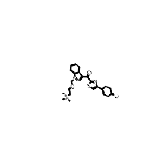 C[Si](C)(C)CCOCn1cc(C(=O)c2nc(C3=CCC(=O)CC3)cs2)c2ccccc21